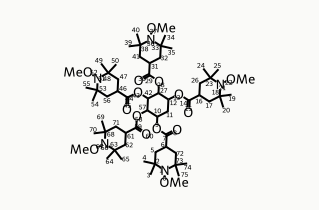 CON1C(C)(C)CC(C(=O)OC2CC(OC(=O)C3CC(C)(C)N(OC)C(C)(C)C3)C(OC(=O)C3CC(C)(C)N(OC)C(C)(C)C3)C(OC(=O)C3CC(C)(C)N(OC)C(C)(C)C3)C2OC(=O)C2CC(C)(C)N(OC)C(C)(C)C2)CC1(C)C